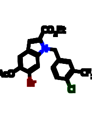 CCOC(=O)c1cc2cc(OC(C)=O)c(Br)cc2n1Cc1ccc(Cl)c(C(F)(F)F)c1